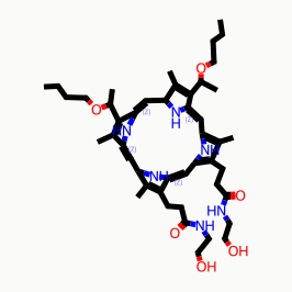 CCCCOC(C)C1=C(C)C2/C=c3\[nH]/c(c(C)c3C(C)OCCCC)=C\C3N/C(=C\c4[nH]c(c(C)c4CCC(=O)NCCO)/C=C/1N2)C(CCC(=O)NCCO)=C3C